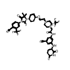 CC1(C)C(=O)N(c2ccc(C#N)c(C(F)(F)F)c2)C(=S)N1[C@H]1CC[C@H](OCCN2CCN(CC(=O)Nc3cc(C#N)cc(NC4CCC(=O)NC4=O)c3)[C@@H](C(F)(F)F)C2)CC1